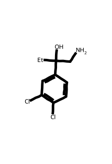 [CH2]CC(O)(CN)c1ccc(Cl)c(Cl)c1